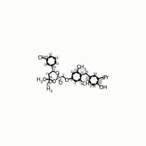 Cc1cc(OC[P@]2(=O)O[C@H](c3cccc(Cl)c3)CC(C)(C)O2)cc(C)c1Cc1ccc(O)c(C(C)C)c1